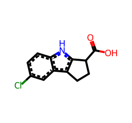 O=C(O)C1CCc2c1[nH]c1ccc(Cl)cc21